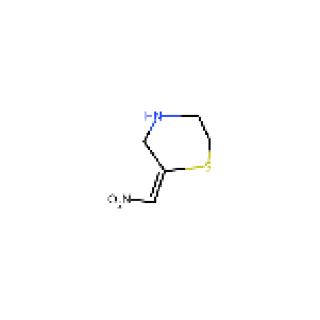 O=[N+]([O-])C=C1CNCCS1